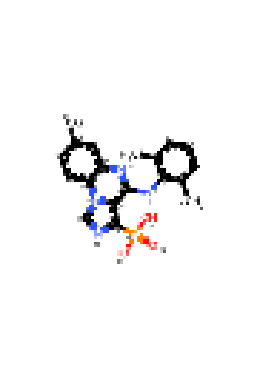 Cc1cccc(C)c1Nc1nc2cc(C(C)(C)C)ccc2n2cnc(P(=O)(O)O)c12